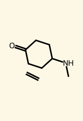 C=C.CNC1CCC(=O)CC1